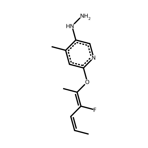 C/C=C\C(F)=C(/C)Oc1cc(C)c(NN)cn1